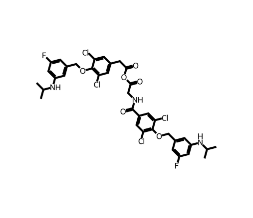 CC(C)Nc1cc(F)cc(COc2c(Cl)cc(CC(=O)OC(=O)CNC(=O)c3cc(Cl)c(OCc4cc(F)cc(NC(C)C)c4)c(Cl)c3)cc2Cl)c1